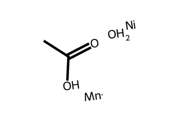 CC(=O)O.O.[Mn].[Ni]